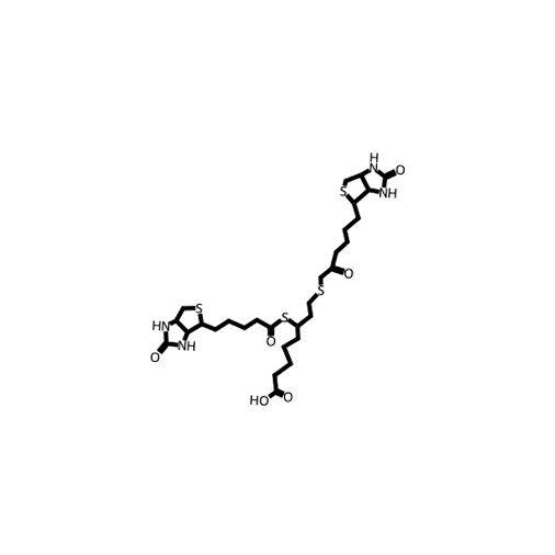 O=C(O)CCCCC(CCSCC(=O)CCCCC1SCC2NC(=O)NC21)SC(=O)CCCCC1SCC2NC(=O)NC21